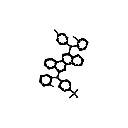 Cc1ccc(N(c2ccccc2C)c2cc3c4ccccc4c(N(c4ccc([Si](C)(C)C)cc4)c4ccccc4C)cc3c3ccccc23)cc1